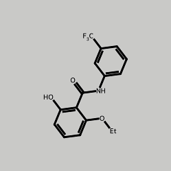 CCOc1cccc(O)c1C(=O)Nc1cccc(C(F)(F)F)c1